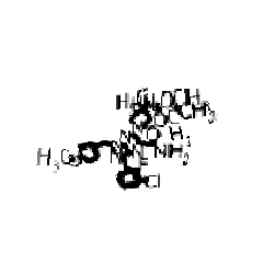 COc1ccc(Cn2nc(-c3cccc(Cl)c3F)c3nc(C(N)=O)c(N4CCC(C)(NC(=O)OC(C)(C)C)CC4)nc32)cc1